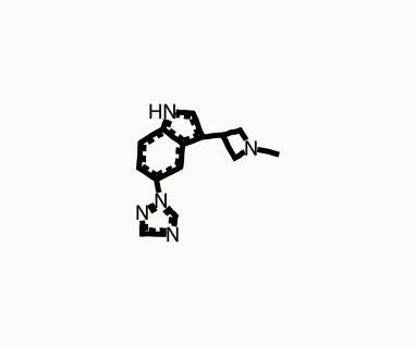 CN1CC(c2c[nH]c3ccc(-n4cncn4)cc23)C1